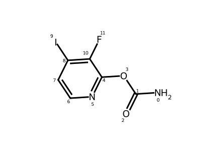 NC(=O)Oc1nccc(I)c1F